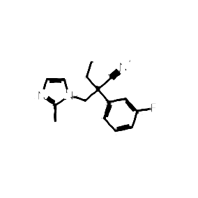 CCC(C#N)(Cn1ccnc1C)c1cccc(F)c1